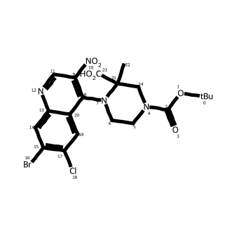 CC(C)(C)OC(=O)N1CCN(c2c([N+](=O)[O-])cnc3cc(Br)c(Cl)cc23)C(C)(C(=O)O)C1